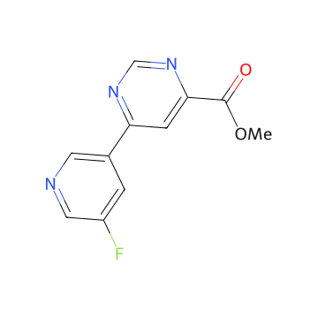 COC(=O)c1cc(-c2cncc(F)c2)ncn1